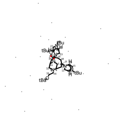 CC(C)(C)OCCN1CC2C[C@](C)(N3C[C@H]4C[C@@H]3CN4C(C)(C)C)CC[C@](C)(N3C[C@@H]4C[C@H]3CN4C(C)(C)C)CC1CN2CCOC(C)(C)C